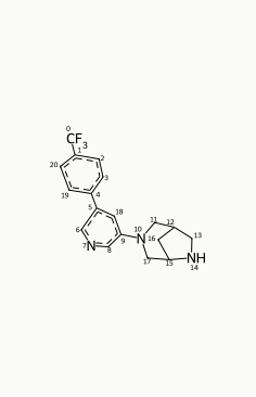 FC(F)(F)c1ccc(-c2cncc(N3CC4CNC(C4)C3)c2)cc1